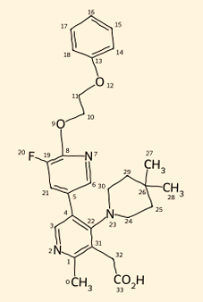 Cc1ncc(-c2cnc(OCCOc3ccccc3)c(F)c2)c(N2CCC(C)(C)CC2)c1CC(=O)O